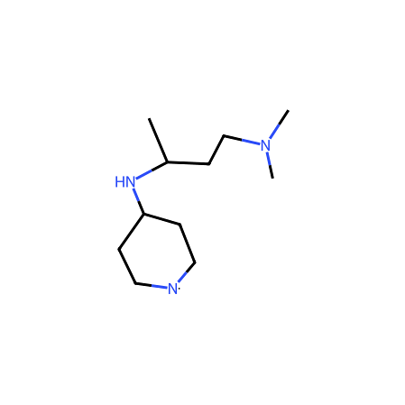 CC(CCN(C)C)NC1CC[N]CC1